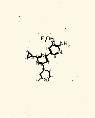 C[C@H]1CN(c2cc(-c3cnc(N)c(OC(F)(F)F)c3)nc(C3CC3)n2)CCO1